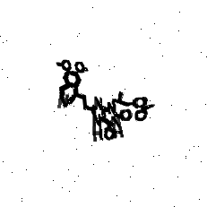 COc1cc2cncc(CCc3nc4c([nH]3)c(=O)[nH]c(=O)n4CC(C)COC(C)=O)c2cc1OC